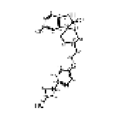 O=C1Nc2ccc(Cl)cc2C12CCN(CCOc1cnc(N3CC(O)C3)nc1)CC2